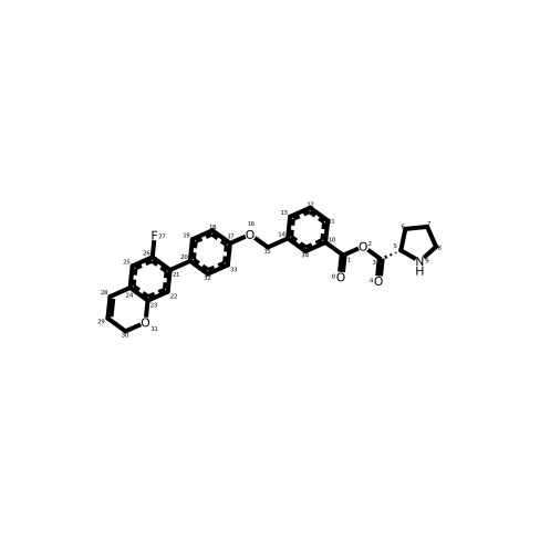 O=C(OC(=O)[C@@H]1CCCN1)c1cccc(COc2ccc(-c3cc4c(cc3F)C=CCO4)cc2)c1